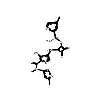 Cc1coc([C@H](Nc2c(Nc3csc(C(=O)N(C)c4cc(C)on4)c3O)c(=O)c2=O)C(C)(C)C)c1